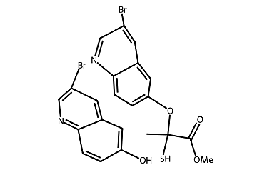 COC(=O)C(C)(S)Oc1ccc2ncc(Br)cc2c1.Oc1ccc2ncc(Br)cc2c1